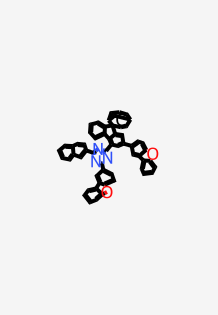 c1ccc2c(c1)-c1c(-c3nc(-c4ccc5ccccc5c4)nc(-c4ccc5oc6ccccc6c5c4)n3)cc(-c3ccc4oc5ccccc5c4c3)cc1C21C2CC3CC(C2)CC1C3